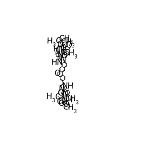 COC(=O)N[C@H](C(=O)N1[C@@H](C)CC[C@H]1c1ncc(-c2ccc3c(c2)COc2cc4c(ccc5nc([C@@H]6CC[C@H](C)N6C(=O)[C@@H](NC(=O)OC(C)(C)C)C6(C)CCOCC6)[nH]c54)cc2-3)[nH]1)C(C)C